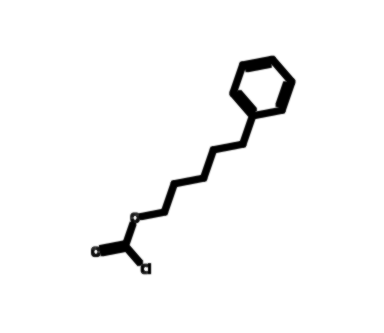 O=C(Cl)OCCCCCc1ccccc1